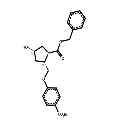 CCOC(=O)c1ccc(OC[C@@H]2C[C@H](O)CN2C(=O)OCc2ccccc2)cc1